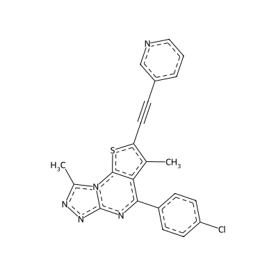 Cc1c(C#Cc2cccnc2)sc2c1c(-c1ccc(Cl)cc1)nc1nnc(C)n12